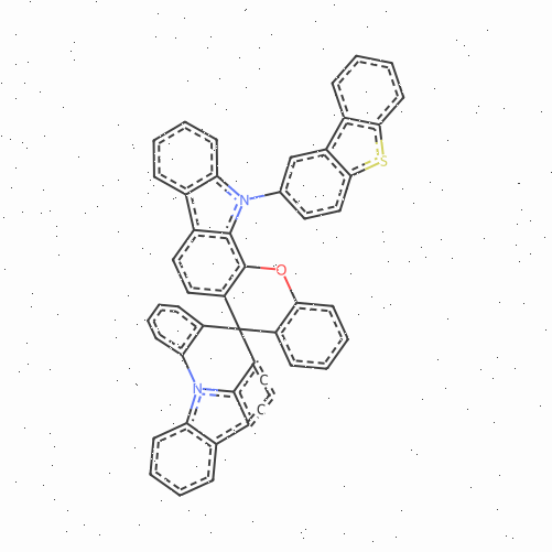 c1ccc2c(c1)Oc1c(ccc3c4ccccc4n(-c4ccc5sc6ccccc6c5c4)c13)C21c2ccccc2-n2c3ccccc3c3cccc1c32